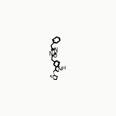 CN1CCC[C@@H]1Cc1c[nH]c2ccc(Cc3nc(Cc4ccccc4)no3)cc12